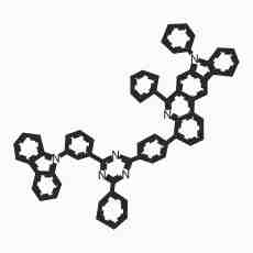 c1ccc(-c2nc(-c3ccc(-c4cccc5c4nc(-c4ccccc4)c4cc6c(cc45)c4ccccc4n6-c4ccccc4)cc3)nc(-c3cccc(-n4c5ccccc5c5ccccc54)c3)n2)cc1